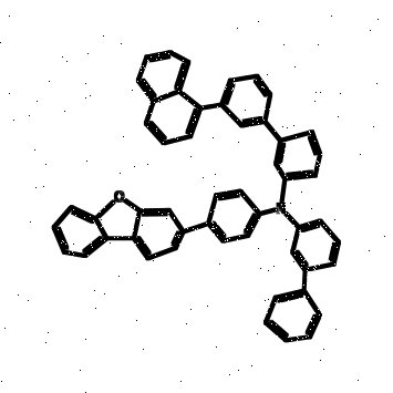 c1ccc(-c2cccc(N(c3ccc(-c4ccc5c(c4)oc4ccccc45)cc3)c3cccc(-c4cccc(-c5cccc6ccccc56)c4)c3)c2)cc1